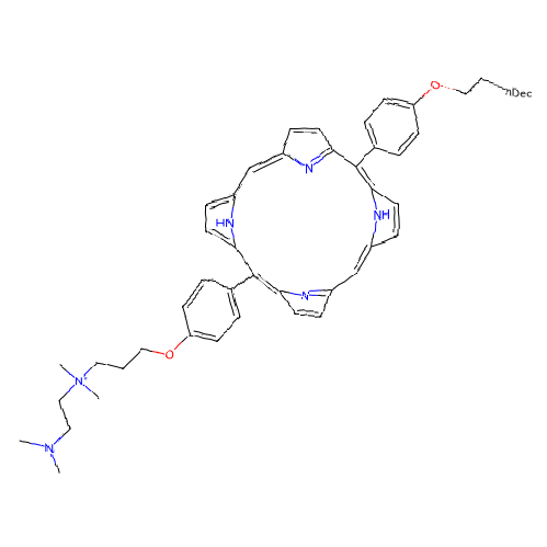 CCCCCCCCCCCCOc1ccc(-c2c3nc(cc4ccc([nH]4)c(-c4ccc(OCCC[N+](C)(C)CCN(C)C)cc4)c4nc(cc5ccc2[nH]5)C=C4)C=C3)cc1